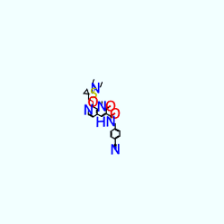 CCN(CC)SC1(COc2nccc3cc(C(=O)NCc4ccc(C#N)cc4)c(=O)n(C)c23)CC1